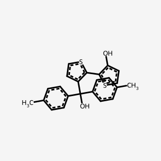 Cc1ccc(C(O)(c2ccc(C)cc2)c2ccsc2-c2sccc2O)cc1